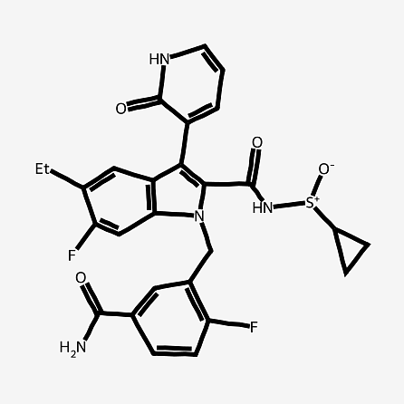 CCc1cc2c(-c3ccc[nH]c3=O)c(C(=O)N[S+]([O-])C3CC3)n(Cc3cc(C(N)=O)ccc3F)c2cc1F